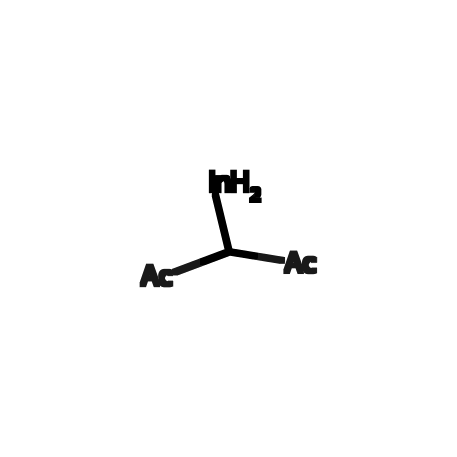 CC(=O)[CH]([InH2])C(C)=O